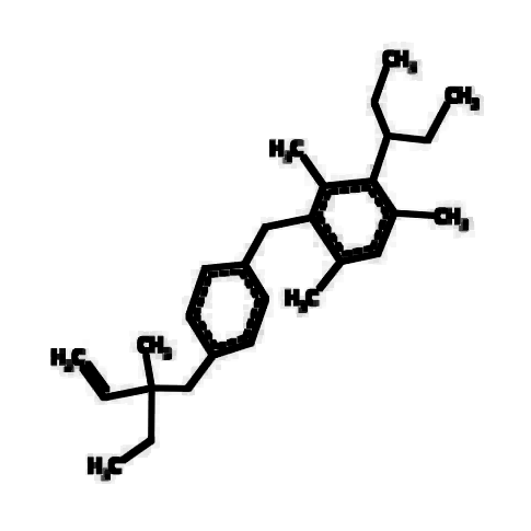 C=CC(C)(CC)Cc1ccc(Cc2c(C)cc(C)c(C(CC)CC)c2C)cc1